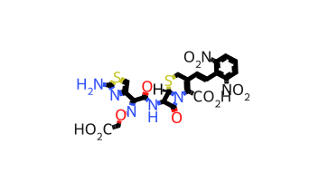 Nc1nc(C(=NOCC(=O)O)C(=O)NC2C(=O)N3C(C(=O)O)=C(C=Cc4c([N+](=O)[O-])cccc4[N+](=O)[O-])CS[C@@H]23)cs1